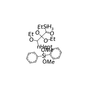 CCCCCCCC(OCC)C(OCC)(OCC)C(=O)[SiH3].CO[Si](OC)(c1ccccc1)c1ccccc1